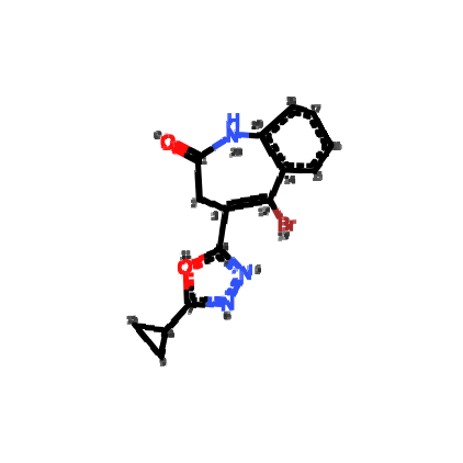 O=C1CC(c2nnc(C3CC3)o2)=C(Br)c2ccccc2N1